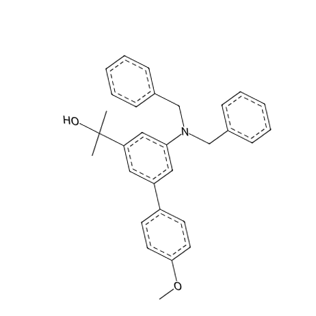 COc1ccc(-c2cc(N(Cc3ccccc3)Cc3ccccc3)cc(C(C)(C)O)c2)cc1